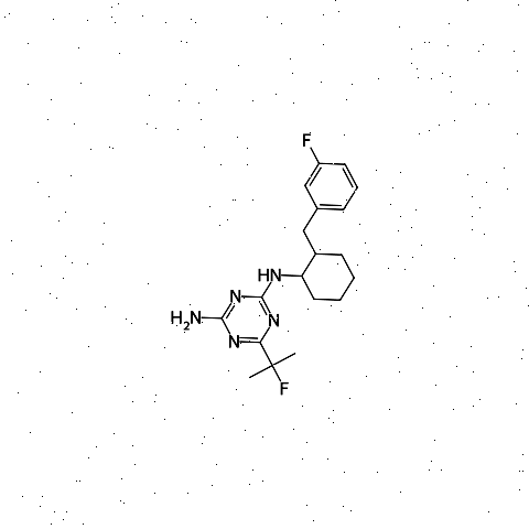 CC(C)(F)c1nc(N)nc(NC2CCCCC2Cc2cccc(F)c2)n1